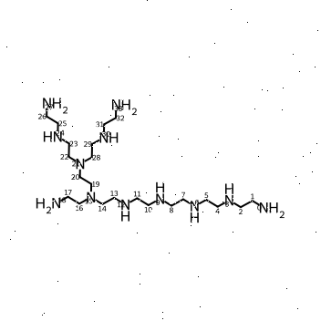 NCCNCCNCCNCCNCCN(CCN)CCN(CCNCCN)CCNCCN